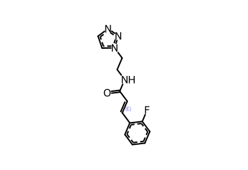 O=C(/C=C/c1ccccc1F)NCCn1ccnn1